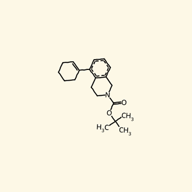 CC(C)(C)OC(=O)N1CCc2c(cccc2C2=CCCCC2)C1